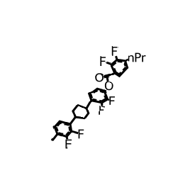 CCCc1ccc(C(=O)Oc2ccc(C3CCC(c4ccc(C)c(F)c4F)CC3)c(F)c2F)c(F)c1F